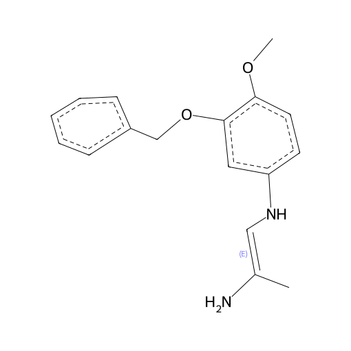 COc1ccc(N/C=C(\C)N)cc1OCc1ccccc1